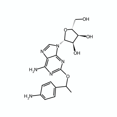 CC(Oc1nc(N)c2ncn([C@@H]3O[C@H](CO)[C@@H](O)[C@H]3O)c2n1)c1ccc(N)cc1